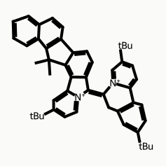 CC(C)(C)c1ccc2c(c1)C/C(=C1/c3ccc4c(c3-c3cc(C(C)(C)C)cc[n+]31)C(C)(C)c1c-4ccc3ccccc13)[n+]1cc(C(C)(C)C)ccc1-2